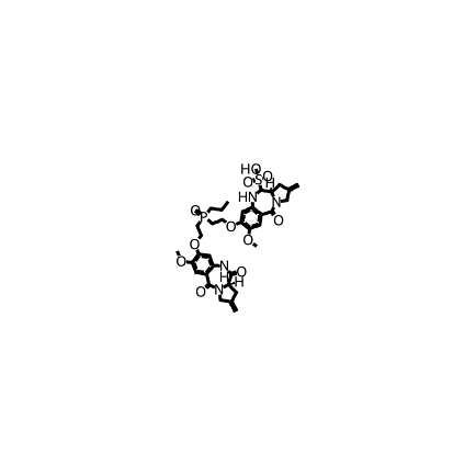 C=C1C[C@H]2C(=O)Nc3cc(OCCP(=O)(CCC)CCOc4cc5c(cc4OC)C(=O)N4CC(=C)C[C@H]4C(S(=O)(=O)O)N5)c(OC)cc3C(=O)N2C1